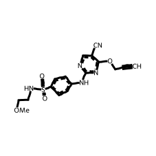 C#CCOc1nc(Nc2ccc(S(=O)(=O)NCCOC)cc2)ncc1C#N